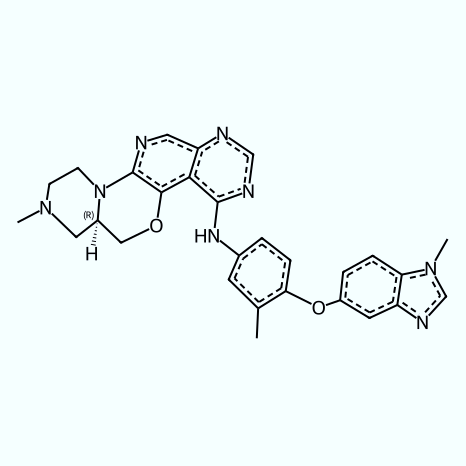 Cc1cc(Nc2ncnc3cnc4c(c23)OC[C@H]2CN(C)CCN42)ccc1Oc1ccc2c(c1)ncn2C